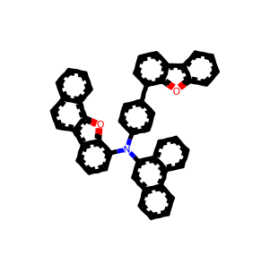 c1ccc2c(c1)cc(N(c1ccc(-c3cccc4c3oc3ccccc34)cc1)c1cccc3c1oc1c4ccccc4ccc31)c1ccccc12